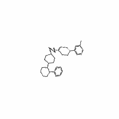 Cc1cccc(C2CCC(N(C)C3CCC(C4CCCCC4c4ccccc4)CC3)CC2)c1